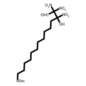 CCCCCCCCCCCCCCCCCCCCCC(O)([N+](=O)[O-])C([C]=O)([N+](=O)[O-])[N+](=O)[O-]